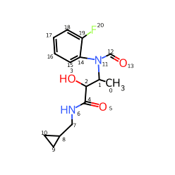 CC(C(O)C(=O)NCC1CC1)N(C=O)c1ccccc1F